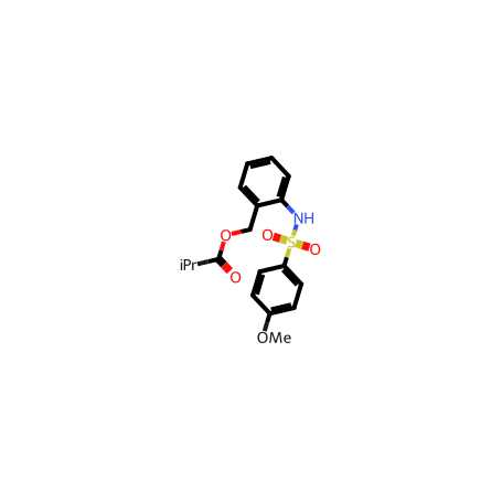 COc1ccc(S(=O)(=O)Nc2ccccc2COC(=O)C(C)C)cc1